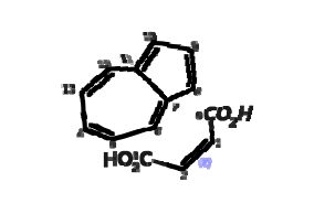 O=C(O)/C=C\C(=O)O.c1ccc2cccc-2cc1